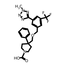 Cn1nnc(-c2cc(COCC3(c4ccccc4)CCN(C(=O)O)CC3)cc(C(F)(F)F)c2)n1